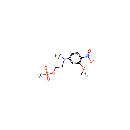 COc1cc(N(C)CCOS(C)(=O)=O)ccc1[N+](=O)[O-]